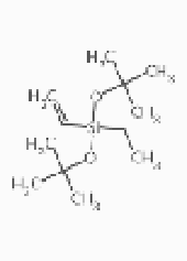 C=C[Si](CC)(OC(C)(C)C)OC(C)(C)C